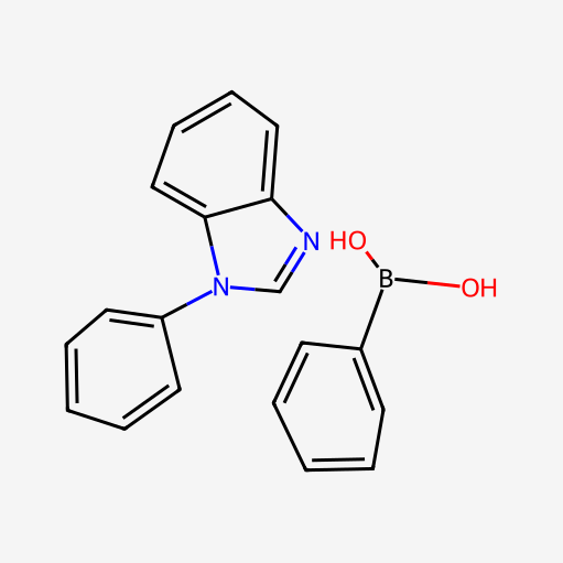 OB(O)c1ccccc1.c1ccc(-n2cnc3ccccc32)cc1